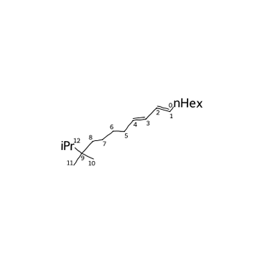 CCCCCCC=CC=CCCCCC(C)(C)C(C)C